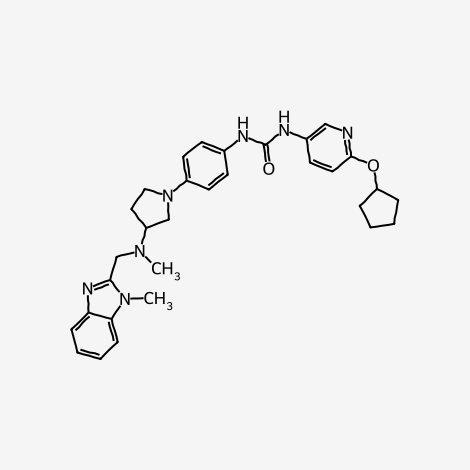 CN(Cc1nc2ccccc2n1C)C1CCN(c2ccc(NC(=O)Nc3ccc(OC4CCCC4)nc3)cc2)C1